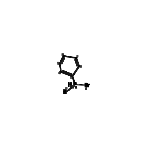 Br[PH2](Br)c1ccccc1